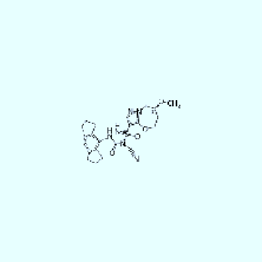 CO[C@H]1CCOc2c([S@@](=N)(=O)N(C#N)C(=O)Nc3c4c(cc5c3CCC5)CCC4)cnn2C1